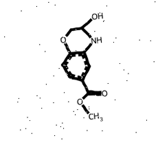 COC(=O)c1ccc2c(c1)NC(O)CO2